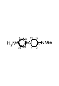 CNC1CCN(c2ncc(N)cn2)CC1